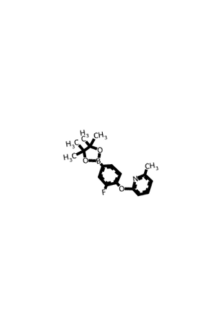 Cc1cccc(Oc2ccc(B3OC(C)(C)C(C)(C)O3)cc2F)n1